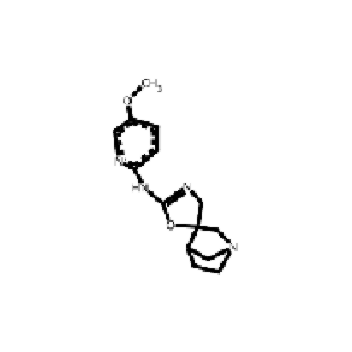 COc1ccc(NC2=NCC3(CN4CCC3C4)O2)nc1